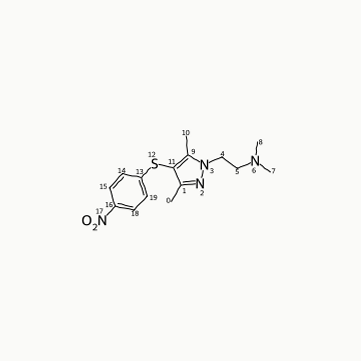 Cc1nn(CCN(C)C)c(C)c1Sc1ccc([N+](=O)[O-])cc1